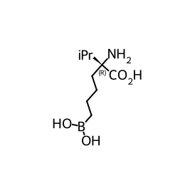 CC(C)[C@](N)(CCCCB(O)O)C(=O)O